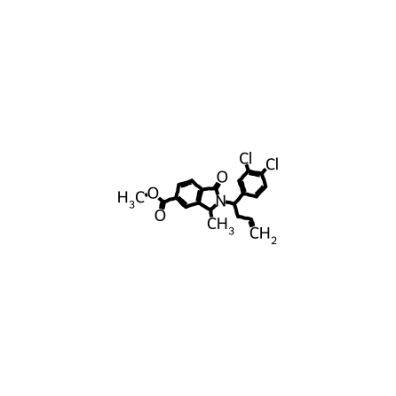 C=CCC(c1ccc(Cl)c(Cl)c1)N1C(=O)c2ccc(C(=O)OC)cc2C1C